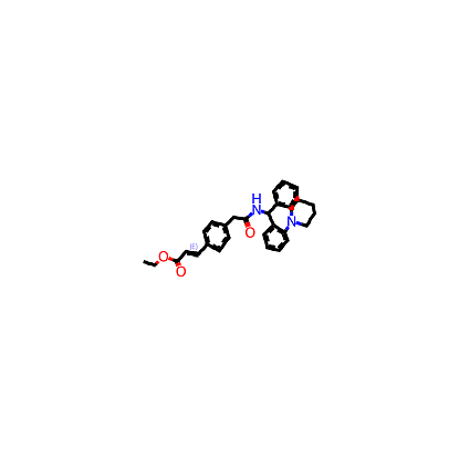 CCOC(=O)/C=C/c1ccc(CC(=O)NC(c2ccccc2)c2ccccc2N2CCCCC2)cc1